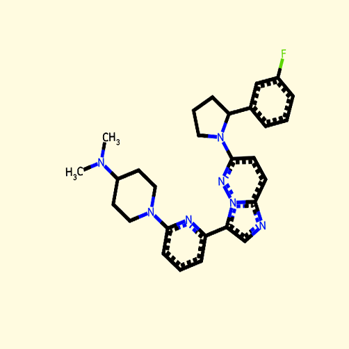 CN(C)C1CCN(c2cccc(-c3cnc4ccc(N5CCCC5c5cccc(F)c5)nn34)n2)CC1